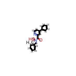 CC1(CN(O)C(=O)c2cc(-c3ccccc3)ccn2)C=CC=CC1